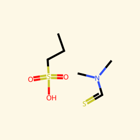 CCCS(=O)(=O)O.CN(C)C=S